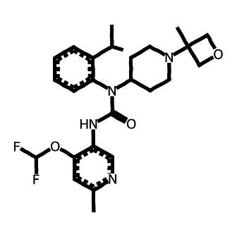 Cc1cc(OC(F)F)c(NC(=O)N(c2ccccc2C(C)C)C2CCN(C3(C)COC3)CC2)cn1